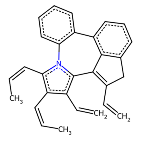 C=CC1=C2c3c(cccc3-c3ccccc3-n3c(/C=C\C)c(/C=C\C)c(C=C)c32)C1